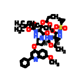 C=CC(=O)OC(C)(C)[C@H](NC(=O)OC(C)(C)C)C(=O)N1CC(Oc2cc(-c3ccccc3)nc3cc(OC)ccc23)C[C@H]1C(=O)N[C@]1(C(=O)NS(=O)(=O)C2CC2)C[C@H]1C=C